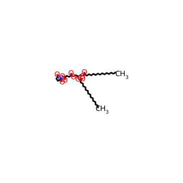 CCCCCCCCCCCCCCCC(=O)OC[C@H](COC(=O)CCC(=O)ON1C(=O)CCC1=O)OC(=O)CCCCCCCCCCCCCCC